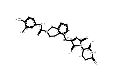 Cc1ccc(NC(=O)N2CCc3c(cccc3NC3=CC(=O)N(C4CCC(=O)NC4=O)C3=O)C2)cc1Cl